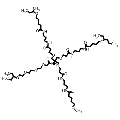 CCCC(CC)OCCCCC(=O)NCCCNC(=O)CCOCC(COCCC(=O)NCCCNC(=O)CCCCOC)(COCCC(=O)NCCCNC(=O)CCCCOC(C)CC)NC(=O)COCCOCCOCCOC(CC)CC